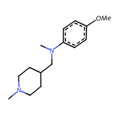 COc1ccc(N(C)CC2CCN(C)CC2)cc1